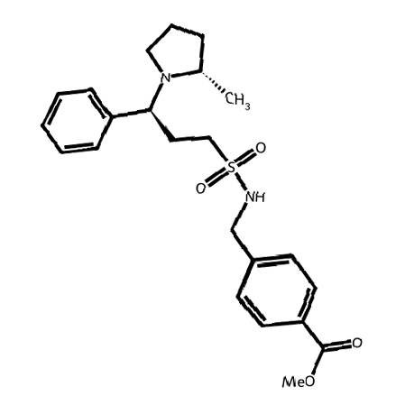 COC(=O)c1ccc(CNS(=O)(=O)CC[C@@H](c2ccccc2)N2CCC[C@@H]2C)cc1